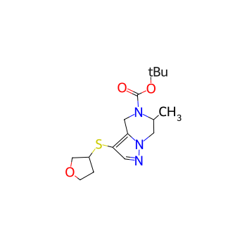 CC1Cn2ncc(SC3CCOC3)c2CN1C(=O)OC(C)(C)C